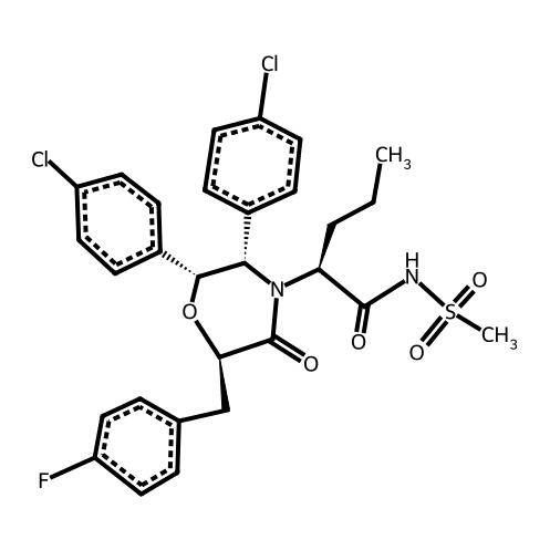 CCC[C@@H](C(=O)NS(C)(=O)=O)N1C(=O)[C@@H](Cc2ccc(F)cc2)O[C@H](c2ccc(Cl)cc2)[C@@H]1c1ccc(Cl)cc1